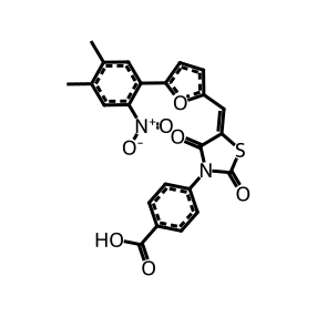 Cc1cc(-c2ccc(C=C3SC(=O)N(c4ccc(C(=O)O)cc4)C3=O)o2)c([N+](=O)[O-])cc1C